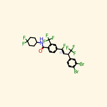 O=C(NC1CCC(F)(F)CC1)c1ccc(/C(F)=C/C(c2ccc(Br)c(Br)c2)C(F)(F)F)cc1C(F)(F)F